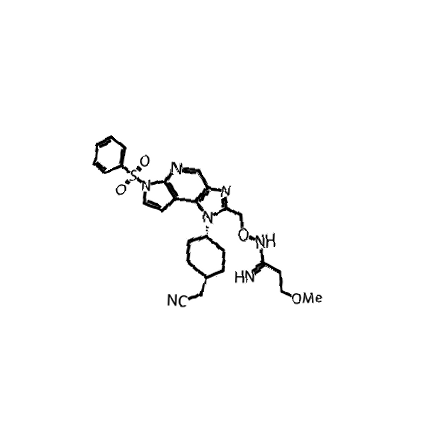 COCCC(=N)NOCc1nc2cnc3c(ccn3S(=O)(=O)c3ccccc3)c2n1[C@H]1CC[C@H](CC#N)CC1